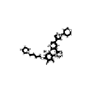 Nc1ncc(-c2cnn(C3CCOCC3)c2)cc1-c1nnnn1-c1ccc(OCCCCN2CCCC2)c(F)c1F